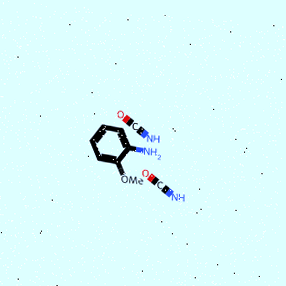 COc1ccccc1N.N=C=O.N=C=O